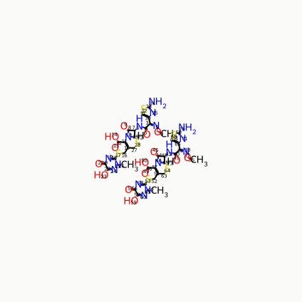 CO/N=C(\C(=O)N[C@@H]1C(=O)N2C(C(=O)O)=C(CSc3nc(=O)c(O)nn3C)CS[C@H]12)c1csc(N)n1.CO/N=C(\C(=O)N[C@@H]1C(=O)N2C(C(=O)O)=C(CSc3nc(=O)c(O)nn3C)CS[C@H]12)c1csc(N)n1